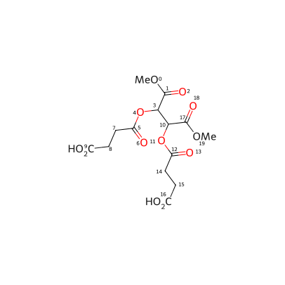 COC(=O)C(OC(=O)CCC(=O)O)C(OC(=O)CCC(=O)O)C(=O)OC